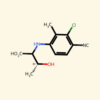 [C-]#[N+]c1ccc(NC(C(=O)O)[C@@H](C)O)c(C)c1Cl